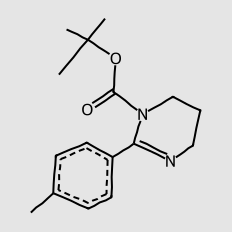 Cc1ccc(C2=NCCCN2C(=O)OC(C)(C)C)cc1